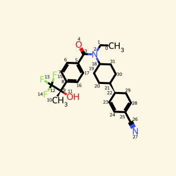 CCN(C(=O)c1ccc([C@](C)(O)C(F)(F)F)cc1)C1CCC([C@@H]2C=CC(C#N)=CC2)CC1